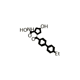 CCc1ccc(-c2ccc(C(=O)[C@H]3CC(O)CC3C(=O)NO)cc2)cc1